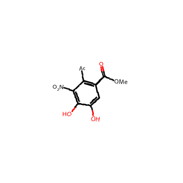 COC(=O)c1cc(O)c(O)c([N+](=O)[O-])c1C(C)=O